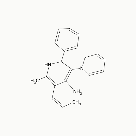 C/C=C\C1=C(C)NC(c2ccccc2)C(N2C=CC=CC2)=C1N